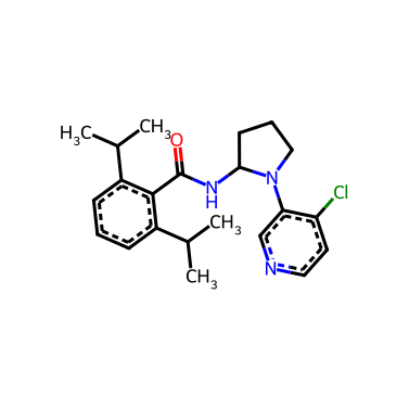 CC(C)c1cccc(C(C)C)c1C(=O)NC1CCCN1c1cnccc1Cl